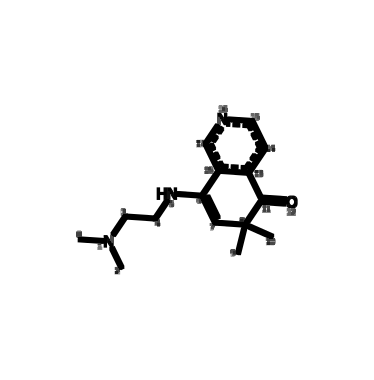 CN(C)CCNC1=CC(C)(C)C(=O)c2ccncc21